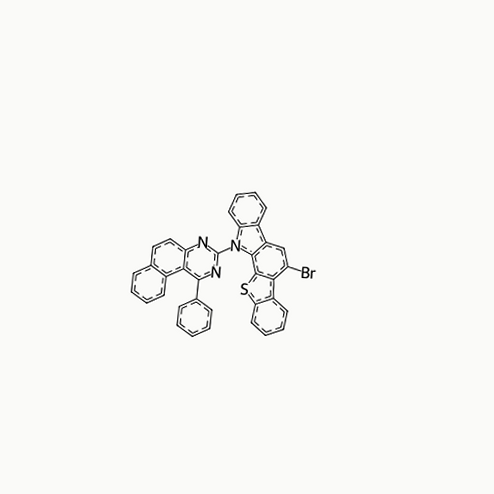 Brc1cc2c3ccccc3n(-c3nc(-c4ccccc4)c4c(ccc5ccccc54)n3)c2c2sc3ccccc3c12